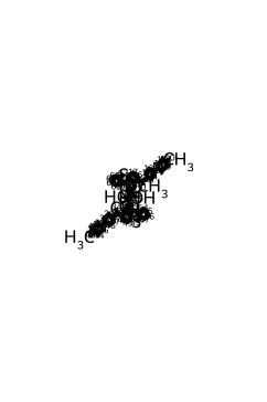 CC(c1ccc(N2CCN(C)CC2)cc1)c1ccc2c(c1OC(=O)C(O)C(O)C(=O)Oc1c(C(C)c3ccc(N4CCN(C)CC4)cc3)ccc3c1Nc1ccccc1S3)Nc1ccccc1S2